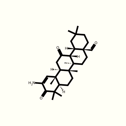 CC1(C)CC[C@]2(C=O)CC[C@]3(C)[C@H](C(=O)C[C@@H]4[C@@]5(C)C=C(N)C(=O)C(C)(C)[C@@H]5CC[C@]43C)[C@@H]2C1